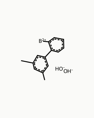 [B+2]c1ccccc1-c1cc(C)cc(C)c1.[OH-].[OH-]